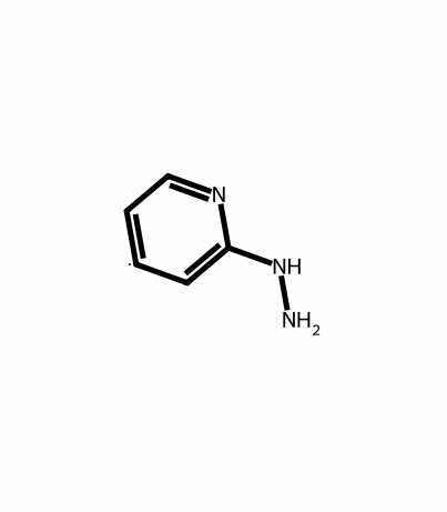 NNc1c[c]ccn1